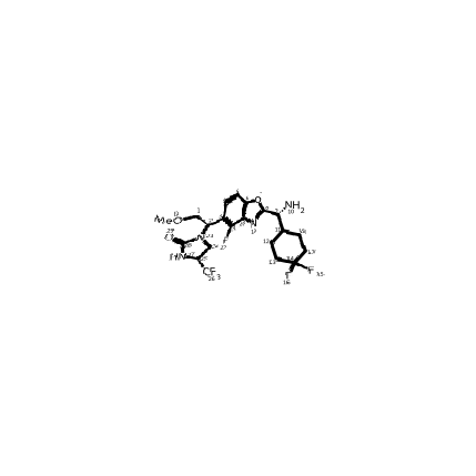 COC[C@@H](c1ccc2oc([C@H](N)C3CCC(F)(F)CC3)nc2c1F)N1C[C@@H](C(F)(F)F)NC1=O